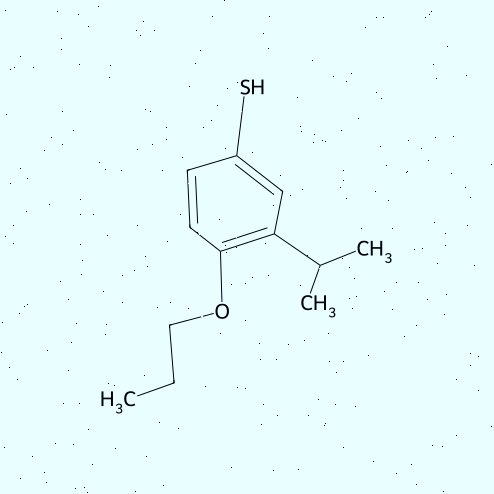 CCCOc1ccc(S)cc1C(C)C